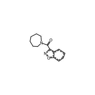 O=C(c1noc2ccccc12)N1CCCCCC1